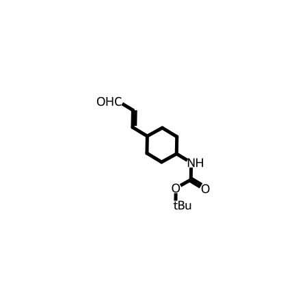 CC(C)(C)OC(=O)NC1CCC(C=CC=O)CC1